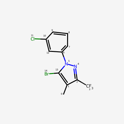 Cc1c(C(F)(F)F)nn(-c2cccc(Cl)c2)c1Br